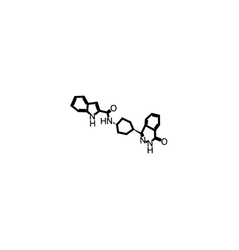 O=C(N[C@H]1CC[C@H](c2n[nH]c(=O)c3ccccc32)CC1)c1cc2ccccc2[nH]1